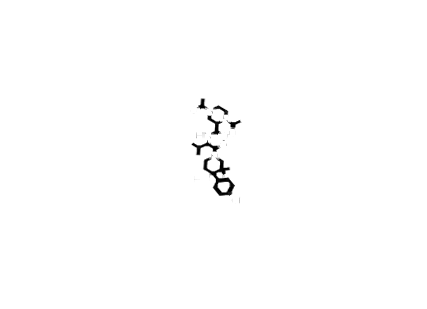 CC(=O)N1CCN(C(C)=O)C(C(=O)N[C@@H](C(=O)N2CC[C@](O)(c3ccc(Cl)cc3)C(C)(C)C2)C(C)C)C1